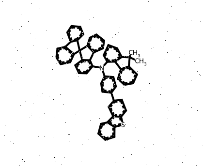 CC1(C)c2ccccc2-c2c(N(c3ccc(-c4ccc5sc6ccccc6c5c4)cc3)c3cccc4c3-c3ccccc3C43c4ccccc4-c4ccccc43)cccc21